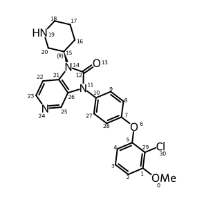 COc1cccc(Oc2ccc(-n3c(=O)n([C@@H]4CCCNC4)c4ccncc43)cc2)c1Cl